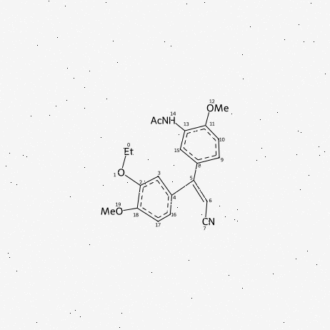 CCOc1cc(/C(=C\C#N)c2ccc(OC)c(NC(C)=O)c2)ccc1OC